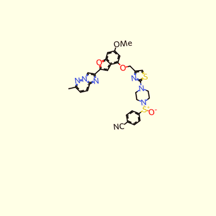 COc1cc(OCc2csc(N3CCN([S+]([O-])c4ccc(C#N)cc4)CC3)n2)c2cc(-c3cn4nc(C)ccc4n3)oc2c1